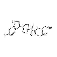 O=S(=O)(c1ccc(-c2c[nH]c3cc(F)ccc23)cc1)N1CCNC(CO)C1